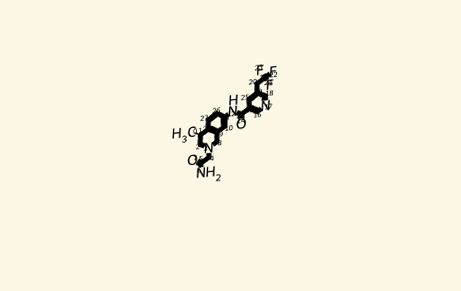 C[C@H]1CN(CC(N)=O)Cc2cc(NC(=O)c3cncc(CC(F)(F)F)c3)ccc21